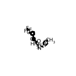 CN1CCN(Cc2nsc(NC(=O)c3coc(-c4cccc(OC(F)(F)F)c4)c3)n2)CC1